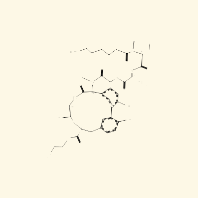 CCCCCCCCCCCCCCCC(=O)N(C)[C@H](CO)C(=O)N[C@H](N)C(=O)NCC(=O)N(C)[C@@H]1C(=O)N[C@@H](C)C(O)N[C@H](C(=O)OCCN)Cc2ccc(O)c(c2)-c2cc1ccc2O